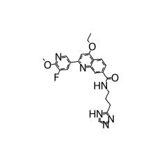 CCOc1cc(-c2cnc(OC)c(F)c2)nc2cc(C(=O)NCCCc3nnc[nH]3)ccc12